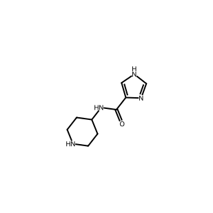 O=C(NC1CCNCC1)c1c[nH]cn1